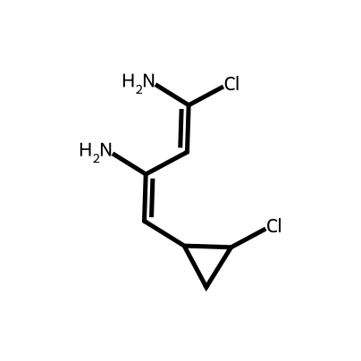 N/C(Cl)=C\C(N)=C/C1CC1Cl